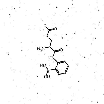 NC(CCC(=O)O)C(=O)Nc1ccccc1B(O)O